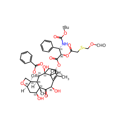 CC(=O)O[C@@]12CO[C@@H]1C[C@H](O)[C@@]1(C)C(=O)[C@H](O)C3=C(C)[C@@H](OC(=O)[C@H](OC(=O)CSCOC=O)[C@@H](NC(=O)OC(C)(C)C)c4ccccc4)C[C@@](O)([C@@H](OC(=O)c4ccccc4)[C@H]21)C3(C)C